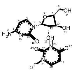 Nc1ccn([C@@H]2O[C@H](CO)[C@@H](O)[C@@H]2O)c(=O)n1.O=c1ccn(F)c(=O)[nH]1